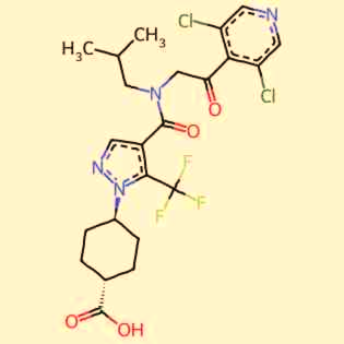 CC(C)CN(CC(=O)c1c(Cl)cncc1Cl)C(=O)c1cnn([C@H]2CC[C@H](C(=O)O)CC2)c1C(F)(F)F